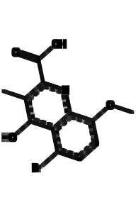 COc1ccc(Br)c2c(O)c(C)c(C(=O)O)nc12